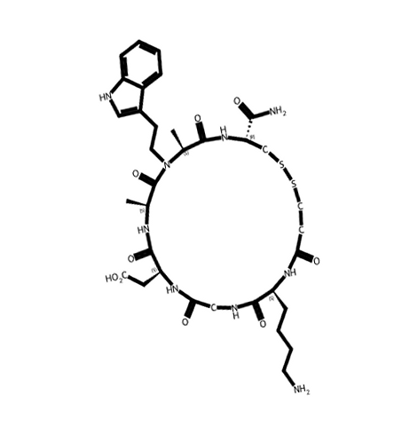 C[C@@H]1NC(=O)[C@H](CC(=O)O)NC(=O)CNC(=O)[C@H](CCCCN)NC(=O)CCSSC[C@@H](C(N)=O)NC(=O)[C@H](C)N(CCc2c[nH]c3ccccc23)C1=O